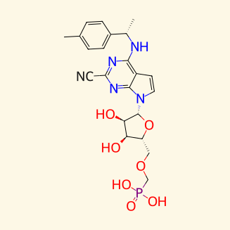 Cc1ccc([C@H](C)Nc2nc(C#N)nc3c2ccn3[C@@H]2O[C@H](COCP(=O)(O)O)[C@@H](O)[C@H]2O)cc1